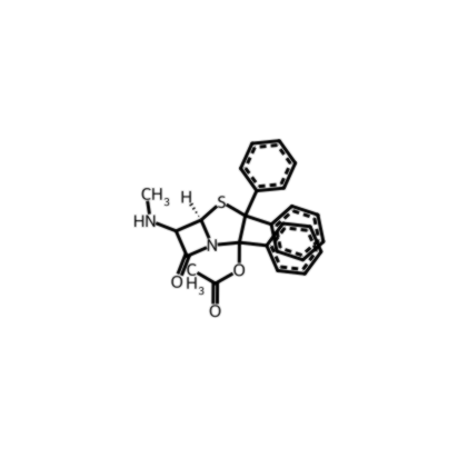 CNC1C(=O)N2[C@@H]1SC(c1ccccc1)(c1ccccc1)C2(OC(C)=O)c1ccccc1